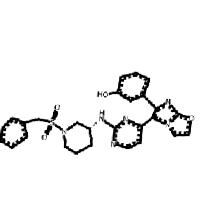 O=S(=O)(Cc1ccccc1)N1CCC[C@@H](Nc2nccc(-c3c(-c4cccc(O)c4)nc4occn34)n2)C1